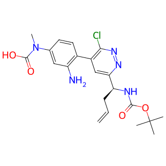 C=CC[C@H](NC(=O)OC(C)(C)C)c1cc(-c2ccc(N(C)C(=O)O)cc2N)c(Cl)nn1